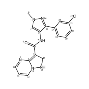 Cn1cc(NC(=O)C2=C3N=CC=CN3NC2)c(-c2cccc(Cl)c2)n1